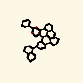 C1=CCCC(c2cccc3cccc(N(c4ccc(-c5ccccc5)cc4)c4cc(-c5cccc6ccccc56)ccc4-c4ccccc4)c23)=C1